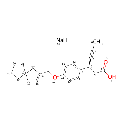 CC#C[C@@H](CC(=O)O)c1ccc(OCC2=CCC3(CCCC3)C2)cc1.[NaH]